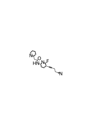 N#CCCC#Cc1ccc(NC(=O)Cc2ccccn2)nc1F